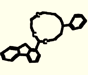 c1ccc(C2CCCCCCCC(c3cccc4c3Cc3ccccc3-4)CCC2)cc1